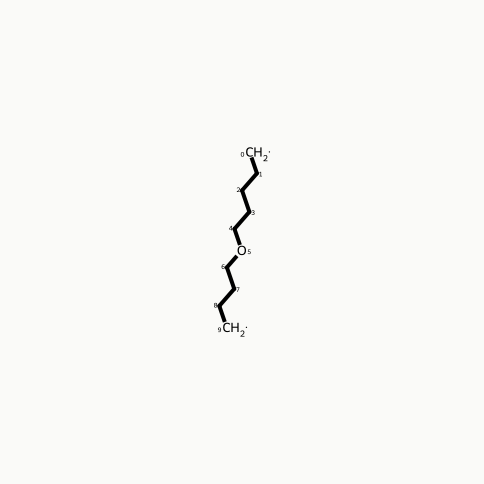 [CH2]CCCCOCCC[CH2]